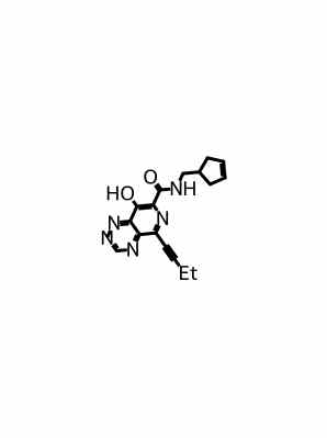 CCC#Cc1nc(C(=O)NCC2CC=CC2)c(O)c2nncnc12